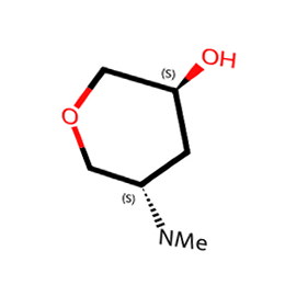 CN[C@@H]1COC[C@@H](O)C1